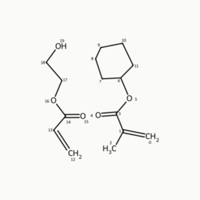 C=C(C)C(=O)OC1CCCCC1.C=CC(=O)OCCO